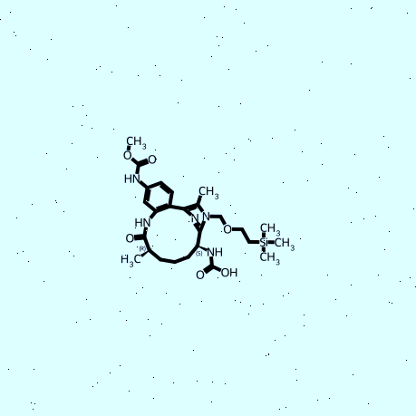 COC(=O)Nc1ccc2c(c1)NC(=O)[C@H](C)CCC[C@H](NC(=O)O)c1nc-2c(C)n1COCC[Si](C)(C)C